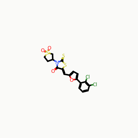 O=C1C(=Cc2ccc(-c3cccc(Cl)c3Cl)o2)SC(=S)N1C1CCS(=O)(=O)C1